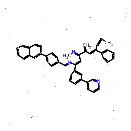 C=C(/C=C(\C=C/C)c1ccccc1)C(/C=C(\N=C\c1ccc(-c2ccc3ccccc3c2)cc1)c1cccc(-c2cccnc2)c1)=N/C